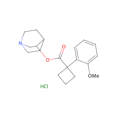 COc1ccccc1C1(C(=O)OC2CN3CCC2CC3)CCC1.Cl